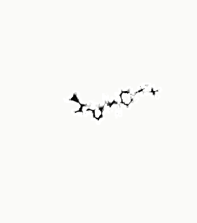 Cc1nc(-c2cccc(NCCNC3CCCN(C(=O)OC(C)(C)C)CC3)n2)[nH]c1C1CC1